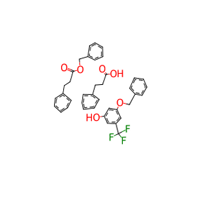 O=C(CCc1ccccc1)OCc1ccccc1.O=C(O)CCc1ccccc1.Oc1cc(OCc2ccccc2)cc(C(F)(F)F)c1